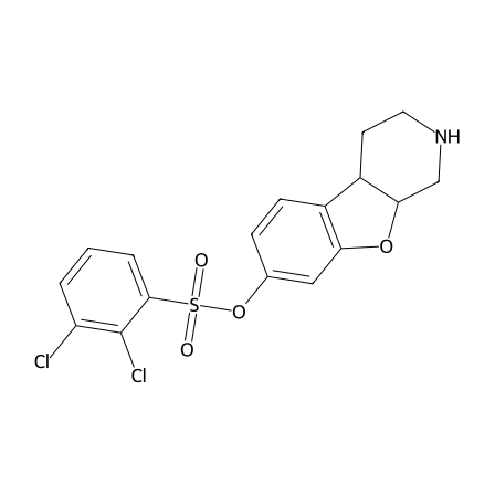 O=S(=O)(Oc1ccc2c(c1)OC1CNCCC21)c1cccc(Cl)c1Cl